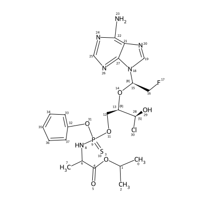 CC(C)OC(=O)C(C)NP(=S)(OC[C@@H](O[C@H](CF)n1cnc2c(N)ncnc21)[C@@H](O)Cl)Oc1ccccc1